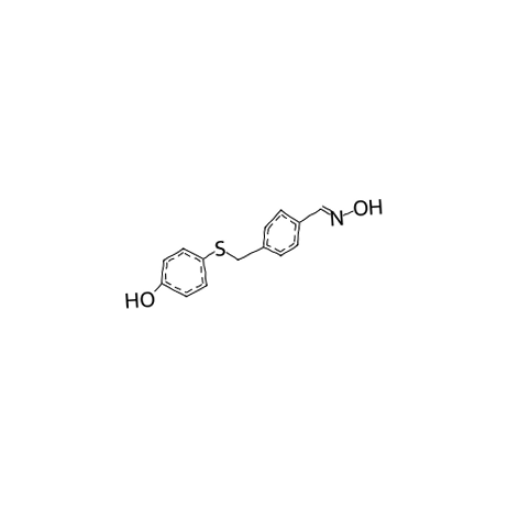 ON=Cc1ccc(CSc2ccc(O)cc2)cc1